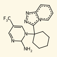 NC1N=CC(C(F)(F)F)=CN1C1(c2nnc3ccccn23)CCCCC1